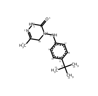 CC1=NNC(=O)N(Nc2ccc(C(C)(C)C)cc2)C1